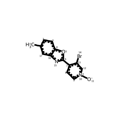 Cc1ccc2oc(-c3cc[n+]([O-])cc3Br)nc2c1